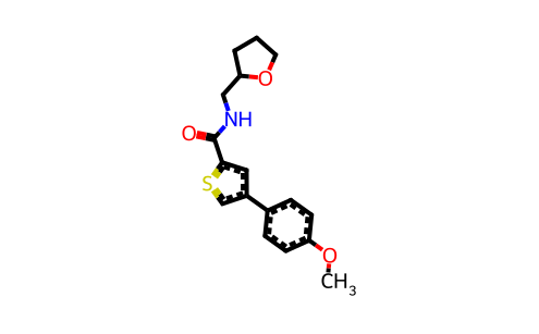 COc1ccc(-c2csc(C(=O)NCC3CCCO3)c2)cc1